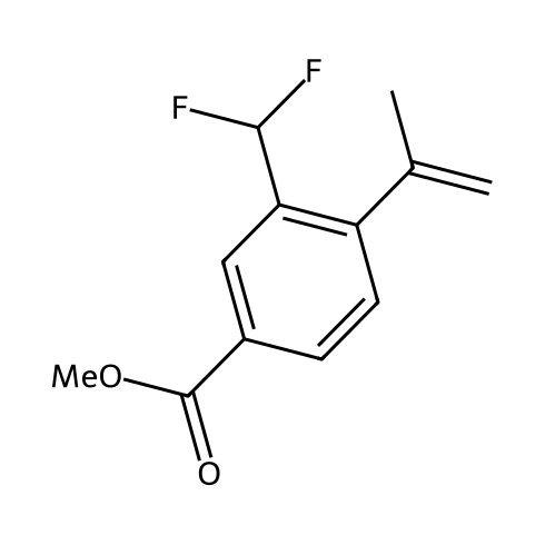 C=C(C)c1ccc(C(=O)OC)cc1C(F)F